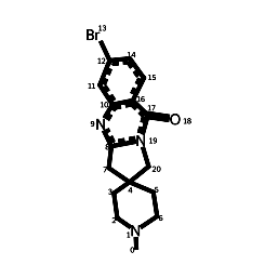 CN1CCC2(CC1)Cc1nc3cc(Br)ccc3c(=O)n1C2